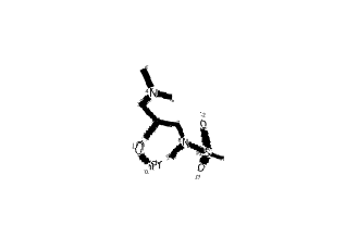 CC(C)OC(CN(C)C)CN(C)S(C)(=O)=O